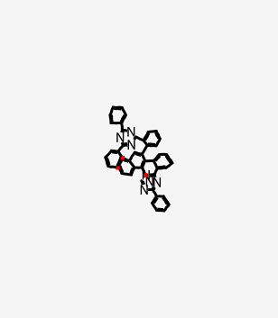 N#Cc1c(-c2ccccc2-c2ncnc(-c3ccccc3)n2)c(-c2ccccc2-c2nc(-c3ccccc3)nc(-c3ccccc3)n2)cc2ccccc12